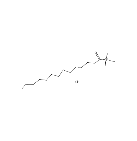 CCCCCCCCCCCCCC(=O)[N+](C)(C)C.[Cl-]